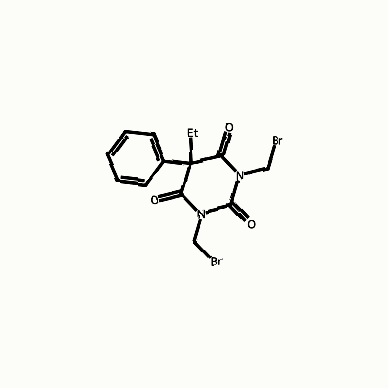 CCC1(c2ccccc2)C(=O)N(CBr)C(=O)N(CBr)C1=O